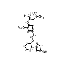 C=C(CN(C)C)Oc1ccc(CCO[C@@H]2CCCC[C@H]2N2CC[C@@H](O)C2)cc1OC